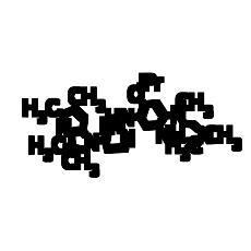 Cc1cc2c(nc1C)C(C)(C)CN2c1ccnc(Nc2cc(N)c(N(C)CCN(C)C)cc2OC(C)C)n1